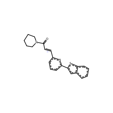 O=C(/C=C/c1cccc(-c2cc3ccccc3s2)n1)N1CCCCC1